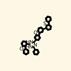 c1ccc(C2=NC(c3ccc4c(c3)oc3ccc(-c5cccc6c5sc5ccccc56)cc34)NC(c3cccc4oc5ccccc5c34)N2)cc1